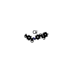 COc1ccc(C(=O)/C=C/c2ccc(OC3CSc4cccc[n+]43)cc2)cc1.[Cl-]